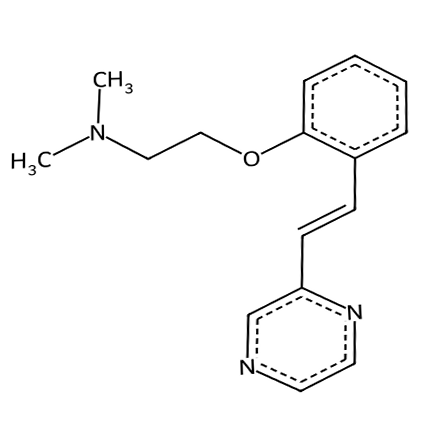 CN(C)CCOc1ccccc1C=Cc1cnccn1